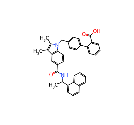 Cc1c(C)n(Cc2ccc(-c3ccccc3C(=O)O)cc2)c2ccc(C(=O)NC(C)c3cccc4ccccc34)cc12